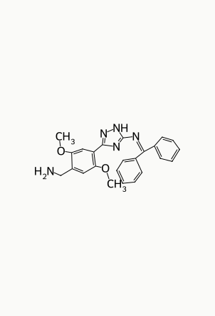 COc1cc(-c2n[nH]c(N=C(c3ccccc3)c3ccccc3)n2)c(OC)cc1CN